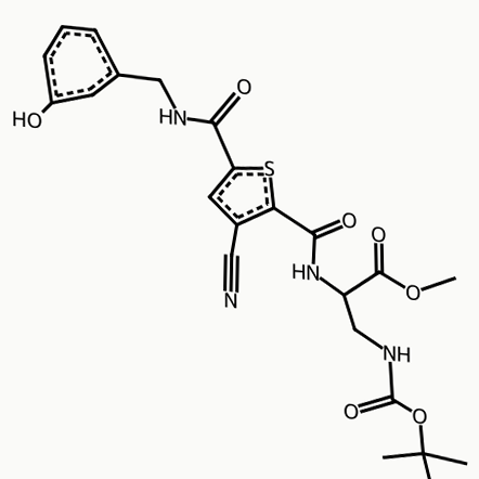 COC(=O)C(CNC(=O)OC(C)(C)C)NC(=O)c1sc(C(=O)NCc2cccc(O)c2)cc1C#N